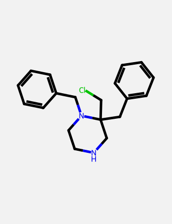 ClCC1(Cc2ccccc2)CNCCN1Cc1ccccc1